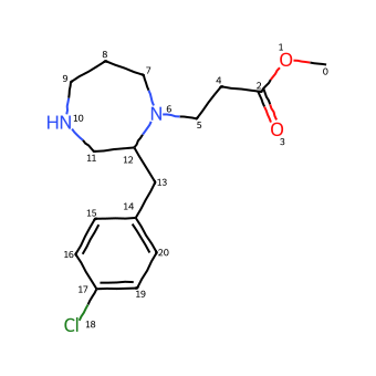 COC(=O)CCN1CCCNCC1Cc1ccc(Cl)cc1